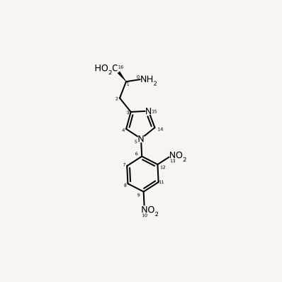 N[C@@H](Cc1cn(-c2ccc([N+](=O)[O-])cc2[N+](=O)[O-])cn1)C(=O)O